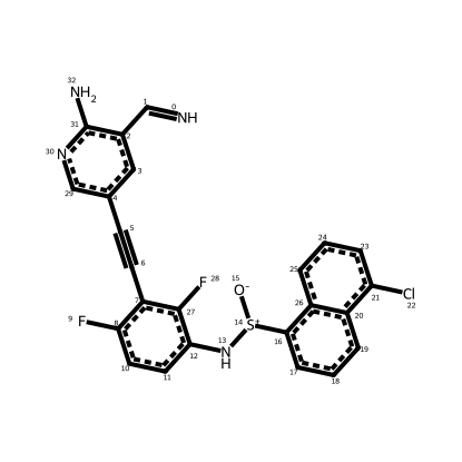 N=Cc1cc(C#Cc2c(F)ccc(N[S+]([O-])c3cccc4c(Cl)cccc34)c2F)cnc1N